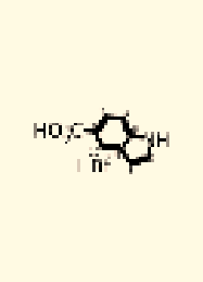 Br.O=C(O)c1ccc2[nH]ccc2c1